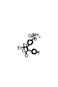 CCC1(CC)OC(=O)C(c2ccc(F)cc2)=C1c1ccc(S(N)(=O)=O)cc1